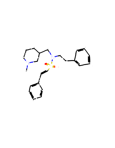 CN1CCCC(CN(CCc2ccccc2)S(=O)(=O)C=Cc2ccccc2)C1